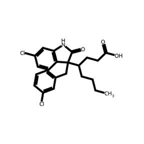 CCCCC(CCC(=O)O)C1(Cc2cccc(Cl)c2)C(=O)Nc2cc(Cl)ccc21